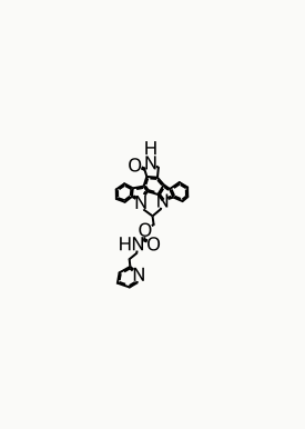 O=C(NCCc1ccccn1)OCC1Cn2c3ccccc3c3c4c(c5c6ccccc6n(c5c32)C1)C(=O)NC4